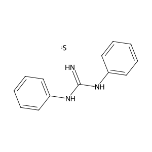 N=C(Nc1ccccc1)Nc1ccccc1.[S]